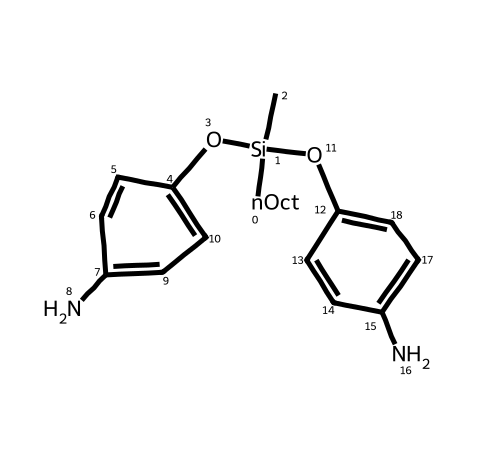 CCCCCCCC[Si](C)(Oc1ccc(N)cc1)Oc1ccc(N)cc1